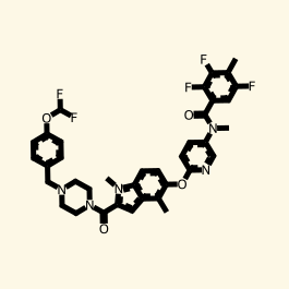 Cc1c(F)cc(C(=O)N(C)c2ccc(Oc3ccc4c(cc(C(=O)N5CCN(Cc6ccc(OC(F)F)cc6)CC5)n4C)c3C)nc2)c(F)c1F